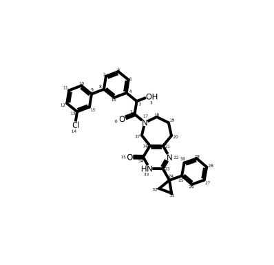 O=C(C(O)c1cccc(-c2cccc(Cl)c2)c1)N1CCCc2nc(C3(c4ccccc4)CC3)[nH]c(=O)c2C1